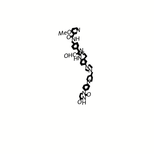 COc1ccncc1C(=O)NCc1ccc(-c2nn3c(c2C=O)Nc2ccc(N4CCN(CC5CCN(c6ccc(N7CCC(=O)NC7=O)cc6)CC5)CC4)cc2CC3)cc1